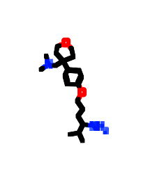 CC(C)C(N)CCCOc1ccc(C2(CN(C)C)CCOCC2)cc1